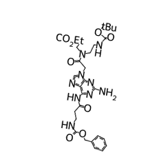 CCOC(=O)CN(CCNC(=O)OC(C)(C)C)C(=O)Cn1cnc2c(NC(=O)CCNC(=O)OCc3ccccc3)nc(N)nc21